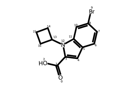 O=C(O)c1cc2ccc(Br)cc2n1C1CCC1